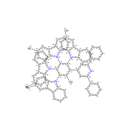 N#Cc1ccc2c(c1)c1ccccc1n2-c1c(C#N)c(-c2cc(-c3ccccc3)nc(-c3ccccc3)c2)c(-n2c3ccccc3c3cc(C#N)ccc32)c(-n2c3ccccc3c3cc(C#N)ccc32)c1-n1c2ccccc2c2cc(C#N)ccc21